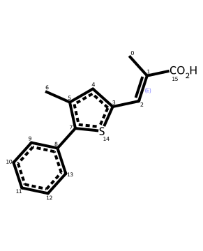 C/C(=C\c1cc(C)c(-c2ccccc2)s1)C(=O)O